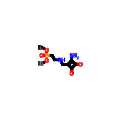 CCOP(=O)(CCNCc1c(N)c(=O)c1=O)OCC